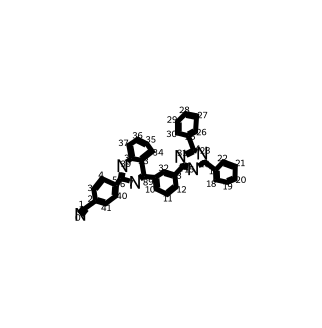 N#Cc1ccc(-c2nc(-c3cccc(-c4nc(-c5ccccc5)nc(-c5ccccc5)n4)c3)c3ccccc3n2)cc1